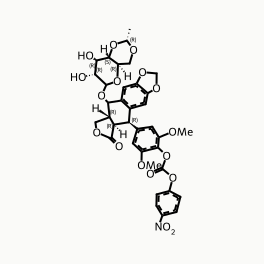 COc1cc([C@@H]2c3cc4c(cc3C(OC3O[C@@H]5CO[C@@H](C)O[C@H]5[C@H](O)[C@H]3O)[C@H]3COC(=O)[C@H]23)OCO4)cc(OC)c1OC(=O)Oc1ccc([N+](=O)[O-])cc1